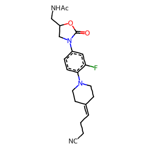 CC(=O)NCC1CN(c2ccc(N3CCC(=CCCC#N)CC3)c(F)c2)C(=O)O1